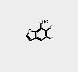 O=Cc1c(F)c(F)cc2ccoc12